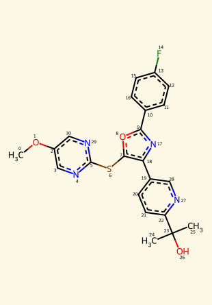 COc1cnc(Sc2oc(-c3ccc(F)cc3)nc2-c2ccc(C(C)(C)O)nc2)nc1